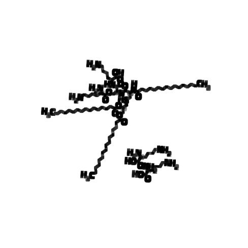 CCCCCCCCCCCCCCCC(=O)N[C@@H](CSC[C@@H](COC(=O)CCCCCCCCCCCCCCC)OC(=O)CCCCCCCCCCCCCCC)C(=O)N[C@@H](COC(=O)[C@@H](N)CCCCN)C(=O)N[C@@H](CCCCN)C(=O)O.NCCCC[C@H](N)C(=O)O.NCCCC[C@H](N)C(=O)O